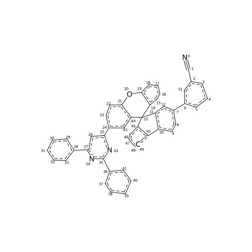 N#Cc1cccc(-c2ccc3c(c2)C2(c4ccccc4Oc4ccc(-c5cc(-c6ccccc6)nc(-c6ccccc6)n5)cc42)c2ccccc2-3)c1